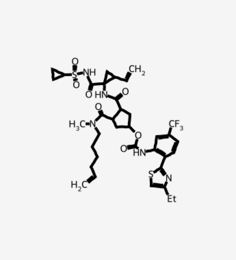 C=CCCCCN(C)C(=O)C1CC(OC(=O)Nc2cc(C(F)(F)F)ccc2-c2nc(CC)cs2)CC1C(=O)NC1(C(=O)NS(=O)(=O)C2CC2)CC1C=C